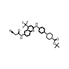 CC(C)(C)OC(=O)N1CCN(c2ccc(Nc3cc(C(F)(F)F)c4cc(NC(=O)CC#N)ccc4n3)cc2)CC1